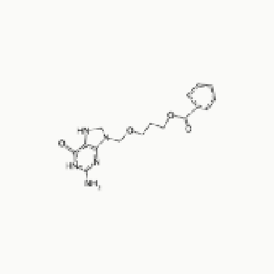 Nc1nc2c(c(=O)[nH]1)NCN2COCCCOC(=O)c1ccccc1